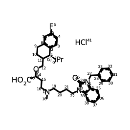 CC(C)[C@@H]1c2ccc(F)cc2CCC1CO[C@@H](CCN(C)CCCCn1c(=O)n(Cc2ccccc2)c2ccccc21)C(=O)O.Cl